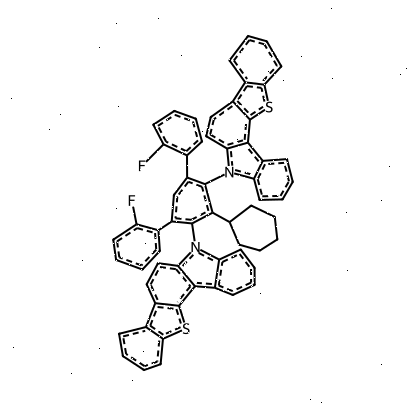 Fc1ccccc1-c1cc(-c2ccccc2F)c(-n2c3ccccc3c3c4sc5ccccc5c4ccc32)c(C2CCCCC2)c1-n1c2ccccc2c2c3sc4ccccc4c3ccc21